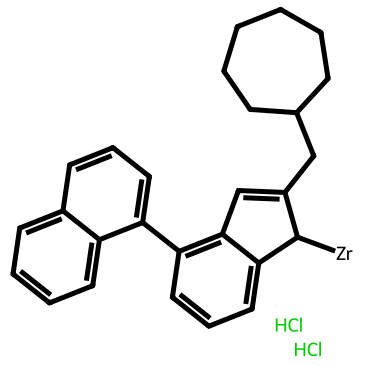 Cl.Cl.[Zr][CH]1C(CC2CCCCCC2)=Cc2c(-c3cccc4ccccc34)cccc21